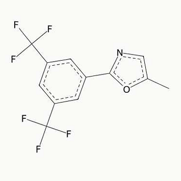 Cc1cnc(-c2cc(C(F)(F)F)cc(C(F)(F)F)c2)o1